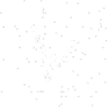 c1ccc(-c2ccc(-c3ccc(N(c4ccc(-c5cccc(-c6ccc7ccccc7c6)c5)cc4)c4cccc(-c5oc6ccccc6c5-c5ccccc5)c4)cc3)cc2)cc1